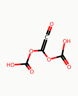 O=C=C(OC(=O)O)OC(=O)O